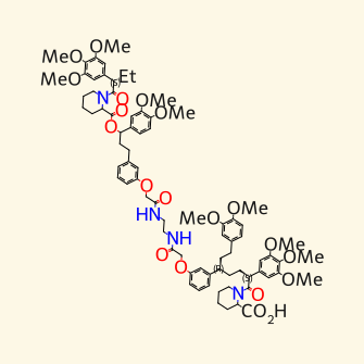 CC[C@H](C(=O)N1CCCCC1C(=O)OC(CCc1cccc(OCC(=O)NCCNC(=O)COc2cccc([C@@H](CCc3ccc(OC)c(OC)c3)CC[C@H](C(=O)N3CCCCC3C(=O)O)c3cc(OC)c(OC)c(OC)c3)c2)c1)c1ccc(OC)c(OC)c1)c1cc(OC)c(OC)c(OC)c1